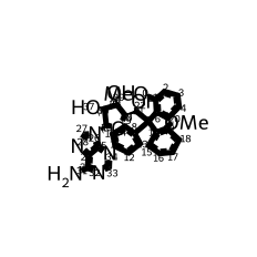 COc1ccccc1C(c1ccccc1)(c1ccccc1OC)C(O)[C@H]1O[C@@H](n2cnc3c(N)ncnc32)[C@H](O)[C@@H]1O